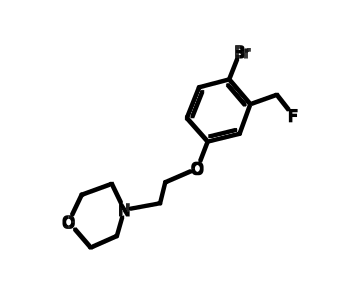 FCc1cc(OCCN2CCOCC2)ccc1Br